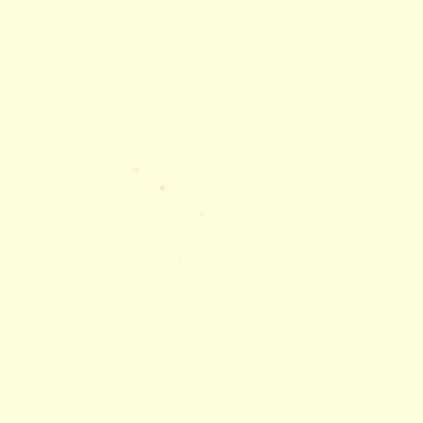 CN1CC(O)NC1=O.NC1(C(=O)O)C=CC=CC1